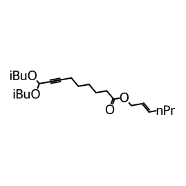 CCCC=CCOC(=O)CCCCCC#CC(OCC(C)C)OCC(C)C